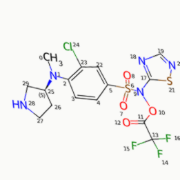 CN(c1ccc(S(=O)(=O)N(OC(=O)C(F)(F)F)c2ncns2)cc1Cl)[C@H]1CCNC1